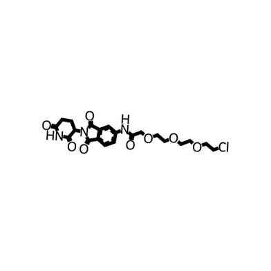 O=C1CCC(N2C(=O)c3ccc(NC(=O)COCCOCCOCCCl)cc3C2=O)C(=O)N1